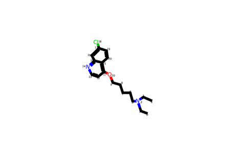 CCN(CC)CCCCCOc1ccnc2cc(Cl)ccc12